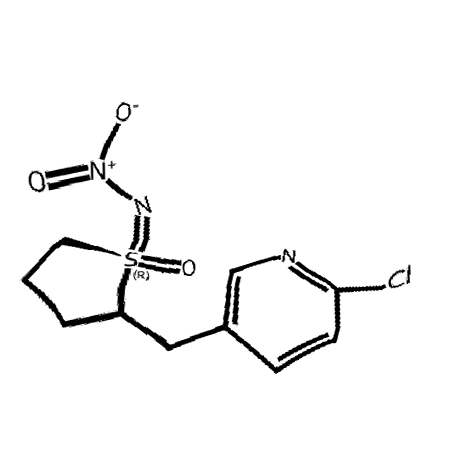 O=[N+]([O-])N=[S@@]1(=O)CCCC1Cc1ccc(Cl)nc1